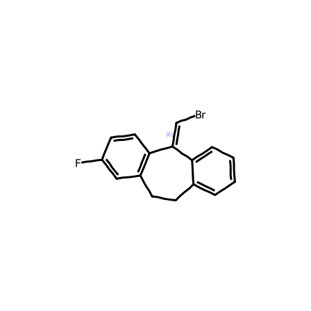 Fc1ccc2c(c1)CCc1ccccc1/C2=C\Br